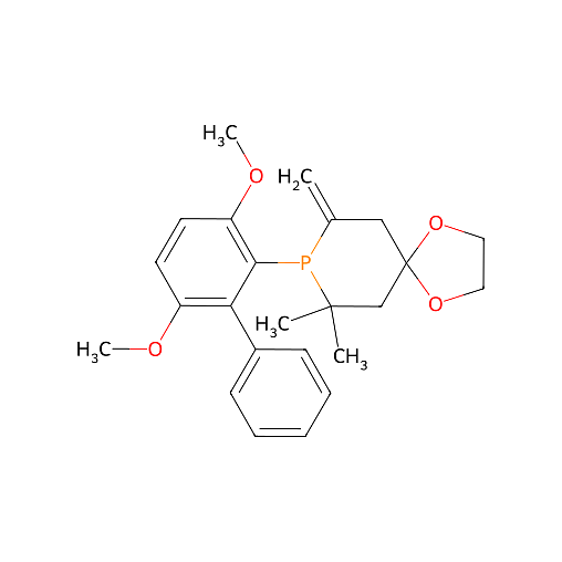 C=C1CC2(CC(C)(C)P1c1c(OC)ccc(OC)c1-c1ccccc1)OCCO2